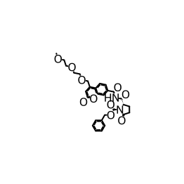 COCCOCCOCc1cc(=O)oc2cc(C(=O)NC(=O)[C@@H]3CCC(=O)N3C(=O)OCc3ccccc3)ccc12